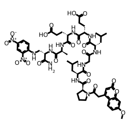 COc1ccc2c(CC(=O)N3CCC[C@H]3C(=O)N[C@@H](CC(C)C)C(=O)NCC(=O)N[C@@H](CC(C)C)C(=O)N[C@@H](CCC(=O)O)C(=O)N[C@@H](CCC(=O)O)C(=O)N[C@@H](C)C(=O)N[C@@H](CNc3ccc([N+](=O)[O-])cc3[N+](=O)[O-])C(N)=O)cc(=O)oc2c1